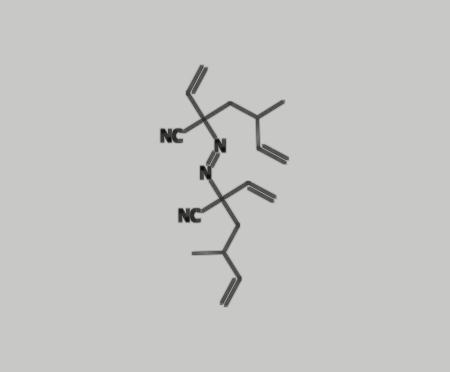 C=CC(C)CC(C#N)(C=C)N=NC(C#N)(C=C)CC(C)C=C